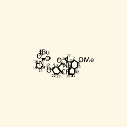 COc1cc(C2(NC(=O)c3cc(OC[C@@H]4CCCN4C(=O)OC(C)(C)C)ccc3C)CC2)c2ccccc2c1